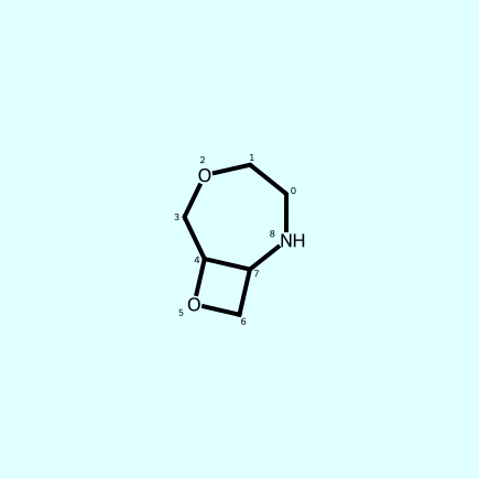 C1COCC2OCC2N1